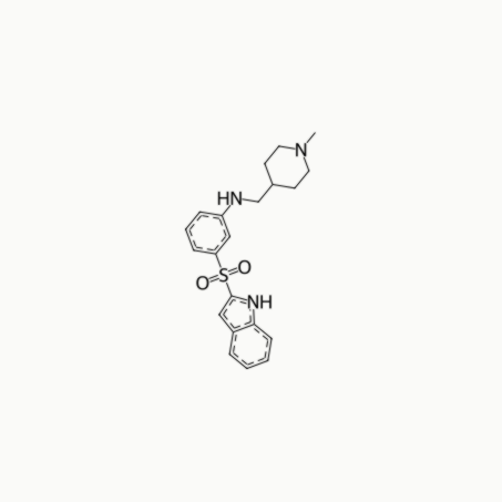 CN1CCC(CNc2cccc(S(=O)(=O)c3cc4ccccc4[nH]3)c2)CC1